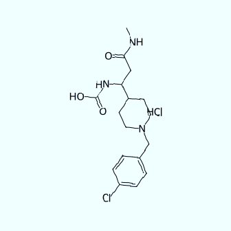 CNC(=O)CC(NC(=O)O)C1CCN(Cc2ccc(Cl)cc2)CC1.Cl